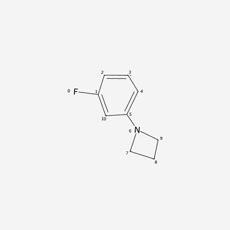 Fc1c[c]cc(N2CCC2)c1